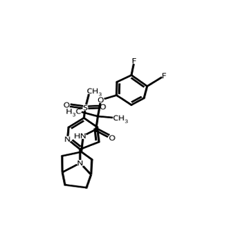 CC(C)(Oc1ccc(F)c(F)c1)C(=O)NC1CC2CCC(C1)N2c1ccc(S(C)(=O)=O)cn1